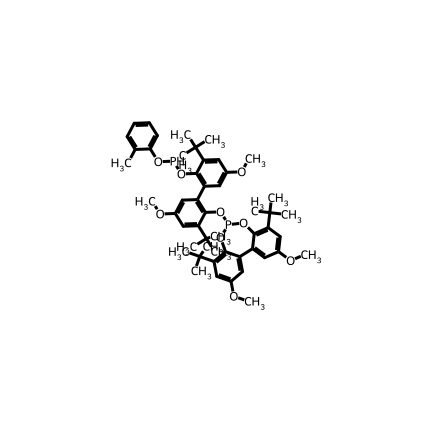 COc1cc(-c2cc(OC)cc(C(C)(C)C)c2Op2oc3c(C(C)(C)C)cc(OC)cc3c3cc(OC)cc(C(C)(C)C)c3o2)c(OPOc2ccccc2C)c(C(C)(C)C)c1